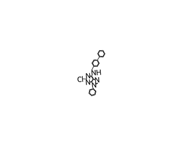 Clc1nc(NCc2ccc(-c3ccccc3)cc2)c2ncn(-c3ccccc3)c2n1